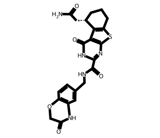 NC(=O)C[C@@H]1CCCc2sc3nc(C(=O)NCc4ccc5c(c4)NC(=O)CO5)[nH]c(=O)c3c21